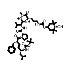 COC(=O)[C@H](CCCNC(=O)OC1CC(C)(C)N(O)C(C)(C)C1)NC(O)[C@@H](NC(=O)[C@@H]1CCCN1C(=O)[C@H](/C=C/[C@H](CC(C)C)NC(=O)OC(C)(C)C)Cc1ccccc1)C(C)C